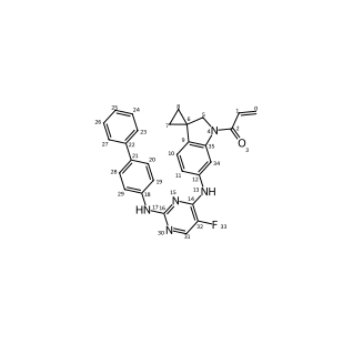 C=CC(=O)N1CC2(CC2)c2ccc(Nc3nc(Nc4ccc(-c5ccccc5)cc4)ncc3F)cc21